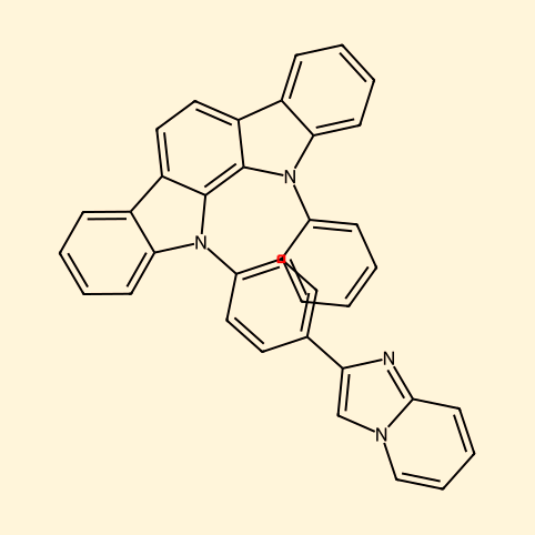 c1ccc(-n2c3ccccc3c3ccc4c5ccccc5n(-c5ccc(-c6cn7ccccc7n6)cc5)c4c32)cc1